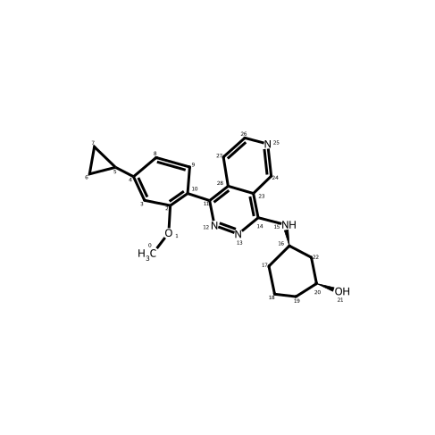 COc1cc(C2CC2)ccc1-c1nnc(N[C@@H]2CCC[C@H](O)C2)c2cnccc12